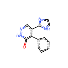 O=c1[nH]ncc(-c2ncc[nH]2)c1-c1ccccc1